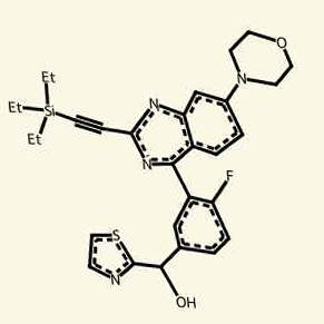 CC[Si](C#Cc1nc(-c2cc(C(O)c3nccs3)ccc2F)c2ccc(N3CCOCC3)cc2n1)(CC)CC